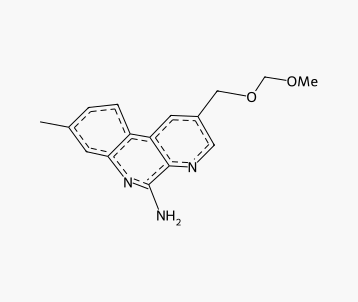 COCOCc1cnc2c(N)nc3cc(C)ccc3c2c1